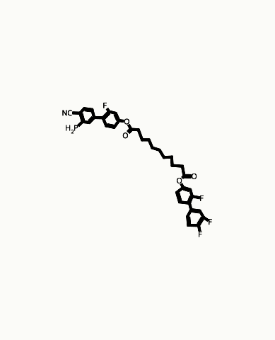 N#Cc1ccc(-c2ccc(OC(=O)CCCCCCCCCC(=O)Oc3ccc(-c4ccc(F)c(F)c4)c(F)c3)cc2F)cc1P